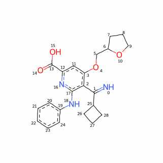 N=C(c1c(OCC2CCCO2)cc(C(=O)O)nc1Nc1ccccc1)C1CCC1